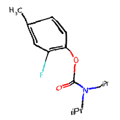 Cc1ccc(OC(=O)N(C(C)C)C(C)C)c(F)c1